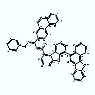 N/C(=N\C(=N/Cc1ccccc1)c1ccc2c(ccc3ccccc32)c1)c1cccc2oc3c(-c4cc5c6ccccc6oc5c5ccccc45)cccc3c12